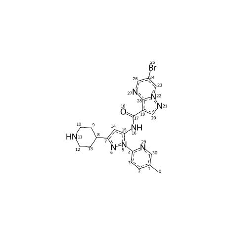 Cc1ccc(-n2nc(C3CCNCC3)cc2NC(=O)c2cnn3cc(Br)cnc23)nc1